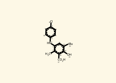 Cc1c(Nc2ccc(Cl)cc2)cc(C(C)(C)C)c(O)c1C(=O)O